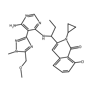 CCC(Nc1ncnc(N)c1-c1nc(COC)n(C)n1)c1cc2cccc(Cl)c2c(=O)n1C1CC1